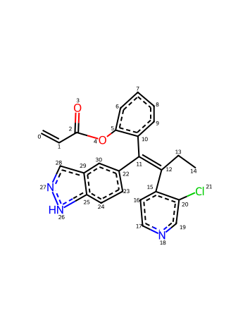 C=CC(=O)Oc1ccccc1/C(=C(\CC)c1ccncc1Cl)c1ccc2[nH]ncc2c1